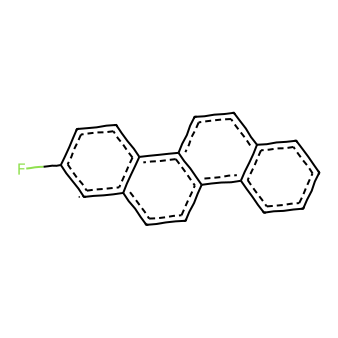 Fc1[c]c2ccc3c4ccccc4ccc3c2cc1